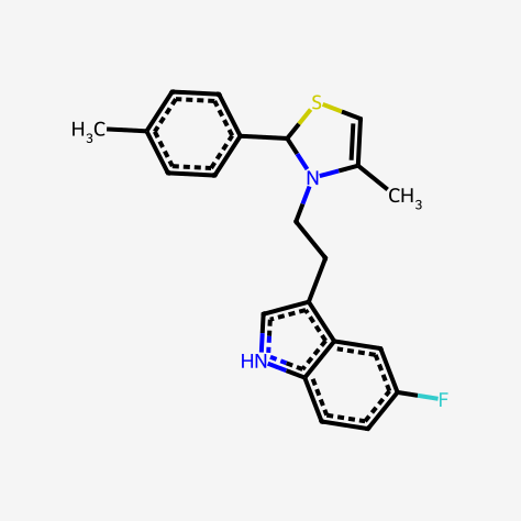 CC1=CSC(c2ccc(C)cc2)N1CCc1c[nH]c2ccc(F)cc12